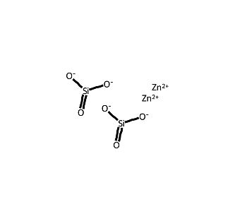 O=[Si]([O-])[O-].O=[Si]([O-])[O-].[Zn+2].[Zn+2]